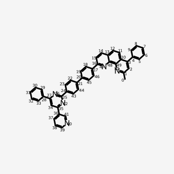 Cc1cc(-c2ccccc2)c2ccc3ccc(-c4ccc(-c5ccc(-c6nc(-c7ccccc7)cc(-c7cccnc7)n6)cc5)cc4)nc3c2n1